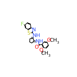 COc1ccc(OC)c(C(=O)N[C@H]2CCC[C@H]2Nc2nc3ccc(F)cc3s2)c1